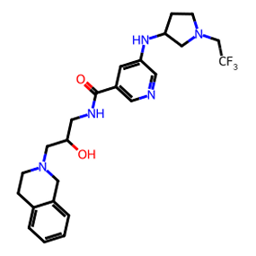 O=C(NCC(O)CN1CCc2ccccc2C1)c1cncc(NC2CCN(CC(F)(F)F)C2)c1